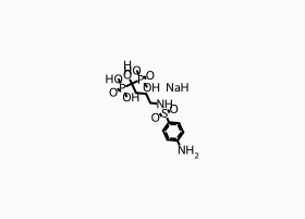 Nc1ccc(S(=O)(=O)NCCCC(O)(P(=O)(O)O)P(=O)(O)O)cc1.[NaH]